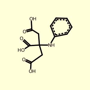 O=C(O)CC(CC(=O)O)(Nc1ccccc1)C(=O)O